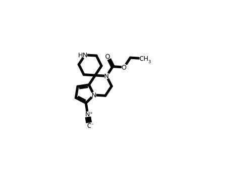 [C-]#[N+]c1ccc2n1CCN(C(=O)OCC)C21CCNCC1